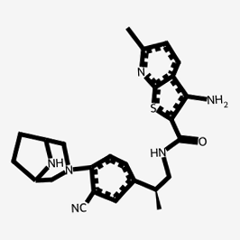 Cc1ccc2c(N)c(C(=O)NC[C@@H](C)c3ccc(N4CC5CCC(C4)N5)c(C#N)c3)sc2n1